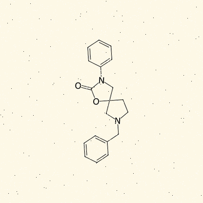 O=C1OC2(CCN(Cc3ccccc3)C2)CN1c1ccccc1